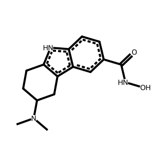 CN(C)C1CCc2[nH]c3ccc(C(=O)NO)cc3c2C1